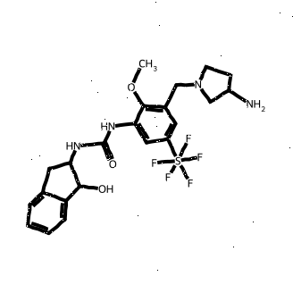 COc1c(CN2CCC(N)C2)cc(S(F)(F)(F)(F)F)cc1NC(=O)NC1Cc2ccccc2C1O